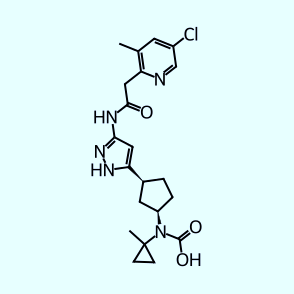 Cc1cc(Cl)cnc1CC(=O)Nc1cc([C@H]2CC[C@@H](N(C(=O)O)C3(C)CC3)C2)[nH]n1